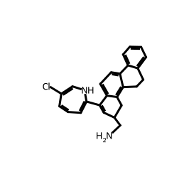 NCC1C=C(C2=CC=CC(Cl)=CN2)c2ccc3c(c2C1)CCc1ccccc1-3